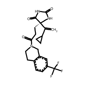 C=C(C1CC1)[C@]1(CCC(=O)N2CCc3ccc(C(F)(F)F)cc3C2)NC(=O)NC1=O